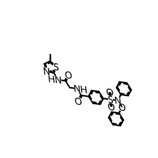 Cc1cnc(NC(=O)CNC(=O)c2ccc(S(=O)(=O)N(Oc3ccccc3)c3ccccc3)cc2)s1